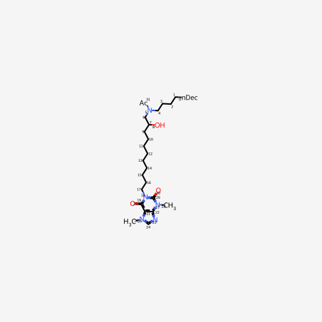 CCCCCCCCCCCCCCN(CC(O)CCCCCCCCCn1c(=O)c2c(ncn2C)n(C)c1=O)C(C)=O